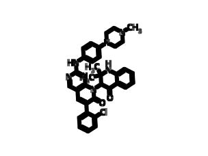 CN1CCN(c2ccc(Nc3ncc4cc(-c5ccccc5Cl)c(=O)n(C5C(=O)c6ccccc6NC5(C)C)c4n3)cc2)CC1